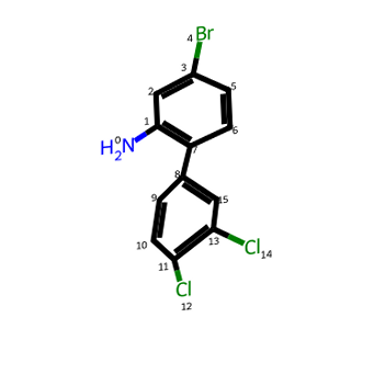 Nc1cc(Br)ccc1-c1ccc(Cl)c(Cl)c1